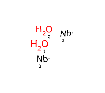 O.O.[Nb].[Nb]